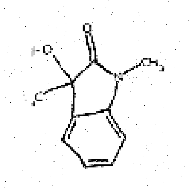 CN1C(=O)C(O)(C(F)(F)F)c2ccccc21